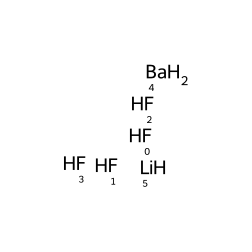 F.F.F.F.[BaH2].[LiH]